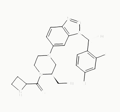 C[C@H](c1ccc(Cl)cc1F)n1nnc2ccc(N3CCN(C(=O)C4CCN4)[C@H](CO)C3)cc21